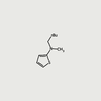 CCCCCN(C)c1cccs1